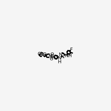 Cc1cc(Nc2ccnc(Nc3ccc(S(=O)(=O)N4CCC(O)(CN5CCOCC5)CC4)cc3)n2)ccc1F